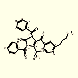 CCCCc1cc(C(=O)c2c(C(C)C)n(C(=O)c3ccccc3)c(=O)n2C(=O)c2ccccc2)ccn1